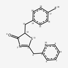 O=C1N=C(Cc2ccccn2)SC1Cc1ccc(F)cc1